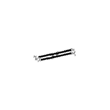 CCCCCCCCCCCCCCCCCCCCCCC(=O)OCCCCCCCCCCCCCCC.CCCCCCCCCCCCCCCCCCCCCCC(=O)OCCCCCCCCCCCCCCCC